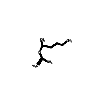 C=C(N)OC(C)CCCC